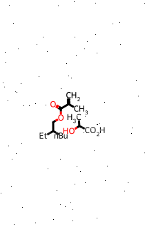 C=C(C)C(=O)OCC(CC)CCCC.CC(O)C(=O)O